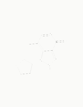 Cc1cnc(=O)c2c[nH]n([C@@H]3CCO[C@@H]3C)c1-2